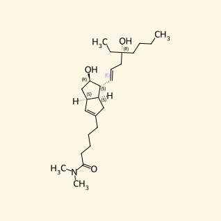 CCCC[C@](O)(CC)C/C=C/[C@@H]1[C@H]2CC(CCCCC(=O)N(C)C)=C[C@H]2C[C@H]1O